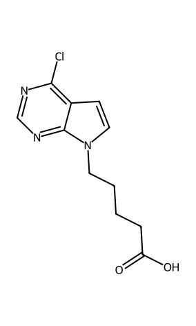 O=C(O)CCCCn1ccc2c(Cl)ncnc21